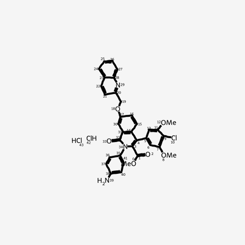 COC(=O)c1c(-c2cc(OC)c(Cl)c(OC)c2)c2ccc(OCc3ccc4ccccc4n3)cc2c(=O)n1-c1ccc(N)cc1.Cl.Cl